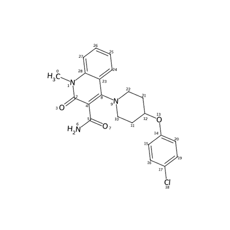 Cn1c(=O)c(C(N)=O)c(N2CCC(Oc3ccc(Cl)cc3)CC2)c2ccccc21